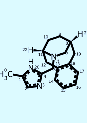 Cc1cnc(CN2C[C@@H]3CC[C@H]2Cc2ccccc2C3)[nH]1